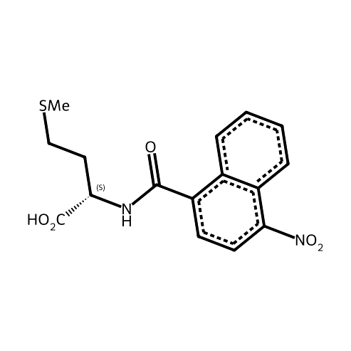 CSCC[C@H](NC(=O)c1ccc([N+](=O)[O-])c2ccccc12)C(=O)O